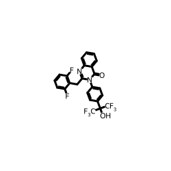 O=c1c2ccccc2nc(Cc2c(F)cccc2F)n1-c1ccc(C(O)(C(F)(F)F)C(F)(F)F)cc1